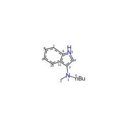 CCCCN(C)c1[c][nH]c2ccccc12